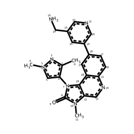 Cc1nn(C)cc1-n1c(=O)n(C)c2cnc3ccc(-c4cncc(CN)c4)cc3c21